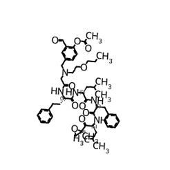 CCCOCCN(CC(=O)N[C@@H](CCc1ccccc1)C(=O)N[C@@H](CC(C)C)C(=O)N[C@@H](Cc1ccccc1)C(=O)N[C@@H](CC(C)C)C(=O)[C@@]1(C)CO1)Cc1ccc(OC(C)=O)c(C=O)c1